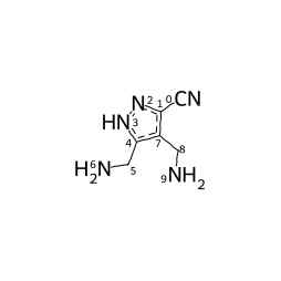 N#Cc1n[nH]c(CN)c1CN